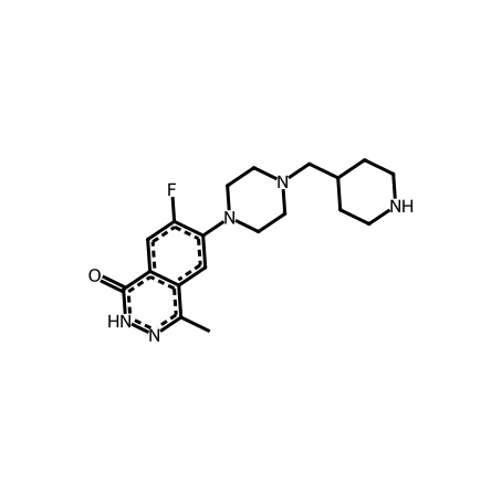 Cc1n[nH]c(=O)c2cc(F)c(N3CCN(CC4CCNCC4)CC3)cc12